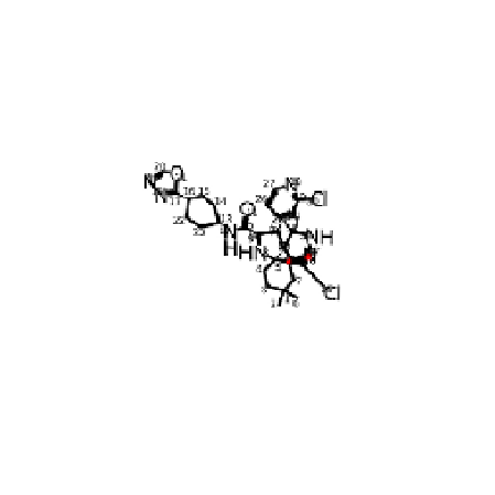 CC1(C)CCC2(CC1)N[C@@H](C(=O)N[C@H]1CC[C@H](c3nnco3)CC1)[C@H](c1ccnc(Cl)c1)[C@]21C(=O)Nc2nc(Cl)ccc21